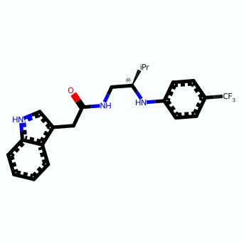 CC(C)[C@H](CNC(=O)Cc1c[nH]c2ccccc12)Nc1ccc(C(F)(F)F)cc1